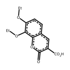 CCOc1ccc2cc(C(=O)O)c(=O)oc2c1OCC